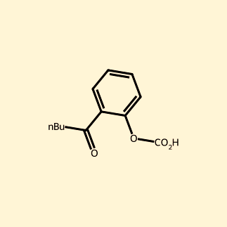 CCCCC(=O)c1ccccc1OC(=O)O